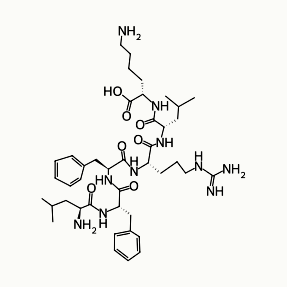 CC(C)C[C@H](NC(=O)[C@H](CCCNC(=N)N)NC(=O)[C@H](Cc1ccccc1)NC(=O)[C@H](Cc1ccccc1)NC(=O)[C@@H](N)CC(C)C)C(=O)N[C@@H](CCCCN)C(=O)O